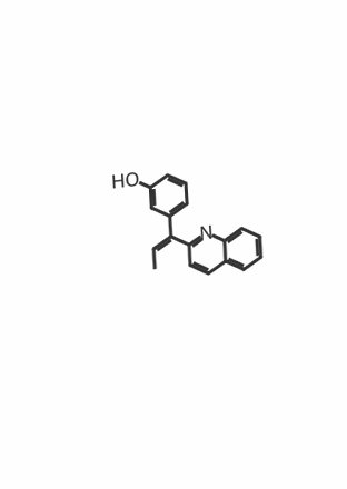 C/C=C(/c1cccc(O)c1)c1ccc2ccccc2n1